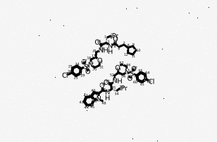 CC(C)C[C@H](NC(=O)CCC1CCCC1)C(=O)NCC1CN(S(=O)(=O)c2ccc(Cl)cc2)CCO1.CC(C)C[C@H](NC(=O)c1cc2ccccc2n1C)C(=O)NCC1CN(S(=O)(=O)c2ccc(Cl)cc2)CCO1